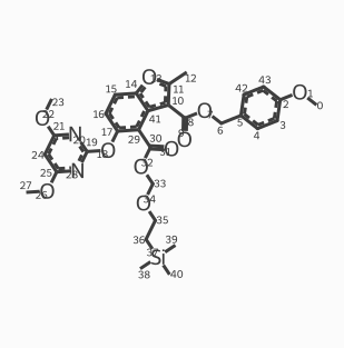 COc1ccc(COC(=O)c2c(C)oc3ccc(Oc4nc(OC)cc(OC)n4)c(C(=O)OCOCC[Si](C)(C)C)c23)cc1